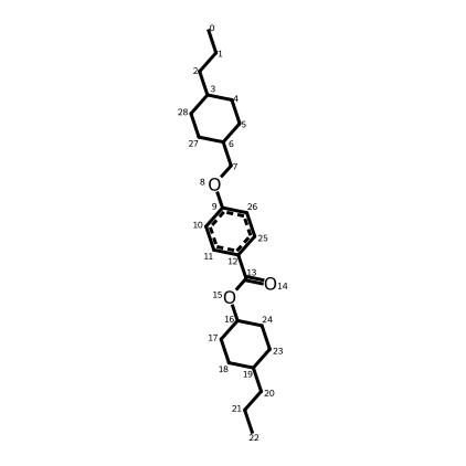 CCCC1CCC(COc2ccc(C(=O)OC3CCC(CCC)CC3)cc2)CC1